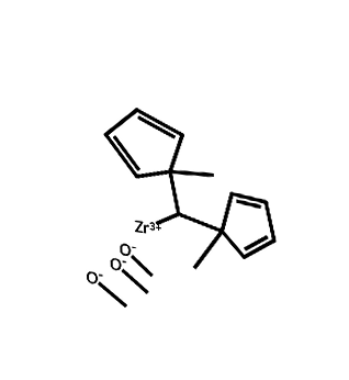 CC1([CH]([Zr+3])C2(C)C=CC=C2)C=CC=C1.C[O-].C[O-].C[O-]